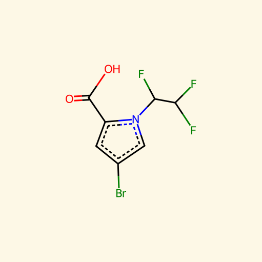 O=C(O)c1cc(Br)cn1C(F)C(F)F